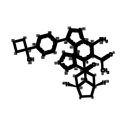 CC(=O)c1c([C@H]2C[C@H]3CC[C@@H](C2)N3C(=O)c2nnc[nH]2)nc2c(-c3ccc(C4(O)CCC4)nc3)cnn2c1N